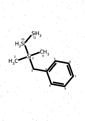 C[Si](C)(Cc1ccccc1)[SiH2][SiH3]